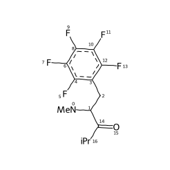 CNC(Cc1c(F)c(F)c(F)c(F)c1F)C(=O)C(C)C